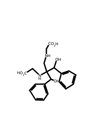 O=C(O)CNCC(NCC(=O)O)(C(O)c1ccccc1)C(O)c1ccccc1